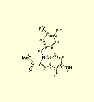 COC(=O)c1cc2c(F)c(O)ccc2n1Cc1ccc(F)c(C(F)(F)F)c1